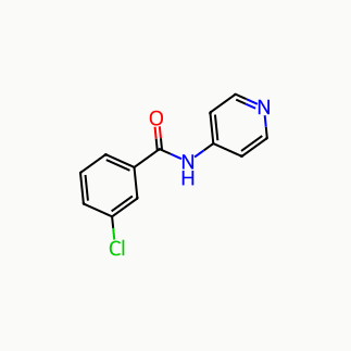 O=C(Nc1ccncc1)c1cccc(Cl)c1